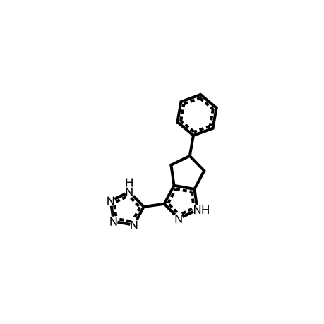 c1ccc(C2Cc3[nH]nc(-c4nnn[nH]4)c3C2)cc1